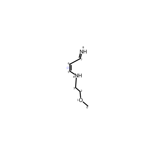 COCCN/C=C\C=N